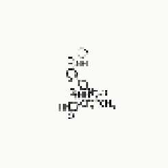 CN1CCN(c2ccc(-c3cc(C(=O)NC4CCCCC4)ccc3F)cc2NC(=O)c2c[nH]c(=O)cc2C(F)(F)F)CC1=O